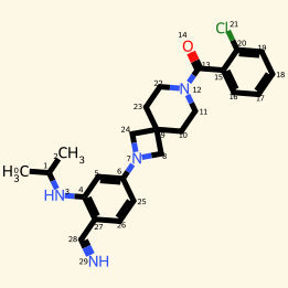 CC(C)Nc1cc(N2CC3(CCN(C(=O)c4ccccc4Cl)CC3)C2)ccc1C=N